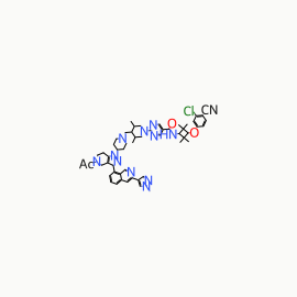 CC(=O)N1CCc2c(c(-c3cccc4cc(-c5cnn(C)c5)ncc34)nn2C2CCN(CC3C(C)CN(c4ncc(C(=O)NC5C(C)(C)C(Oc6ccc(C#N)c(Cl)c6)C5(C)C)cn4)CC3C)CC2)C1